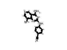 N#Cc1ccc(Nc2nc(N)c3cncc(Br)c3n2)cc1